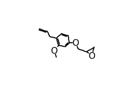 C=CCc1ccc(OCC2CO2)cc1OC